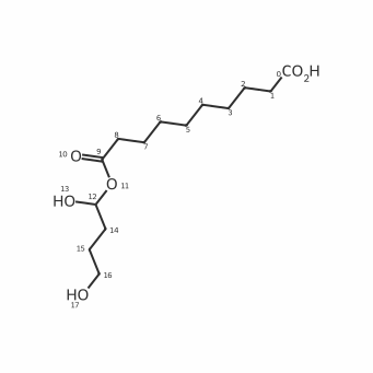 O=C(O)CCCCCCCCC(=O)OC(O)CCCO